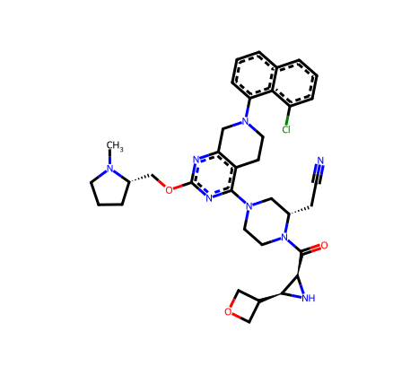 CN1CCC[C@H]1COc1nc2c(c(N3CCN(C(=O)[C@H]4N[C@H]4C4COC4)[C@@H](CC#N)C3)n1)CCN(c1cccc3cccc(Cl)c13)C2